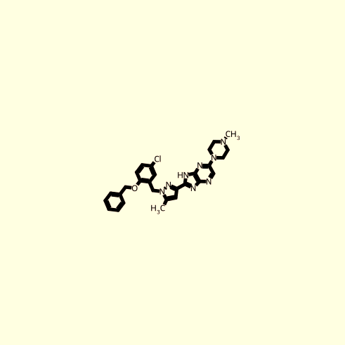 Cc1cc(-c2nc3ncc(N4CCN(C)CC4)nc3[nH]2)nn1Cc1cc(Cl)ccc1OCc1ccccc1